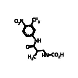 CC(CNC(=O)O)C(=O)Nc1ccc([N+](=O)[O-])c(C(F)(F)F)c1